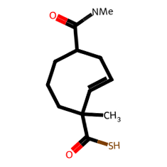 CNC(=O)C1C/C=C/C(C)(C(=O)S)CCC1